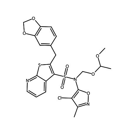 COC(C)OCN(c1onc(C)c1Cl)S(=O)(=O)c1c(Cc2ccc3c(c2)OCO3)sc2ncccc12